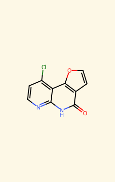 O=c1[nH]c2nccc(Cl)c2c2occc12